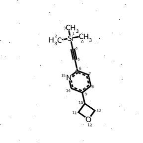 C[Si](C)(C)C#Cc1ccc(C2COC2)cn1